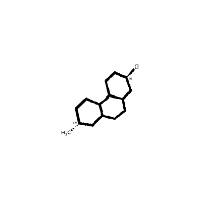 C[C@@H]1CCC2C(CCC3C[C@H](Cl)CCC32)C1